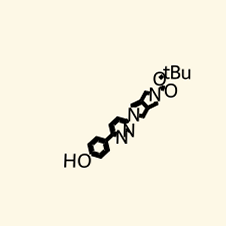 CC(C)(C)OC(=O)N1CC2=CN(c3ccc(-c4ccc(O)cc4)nn3)CC2C1